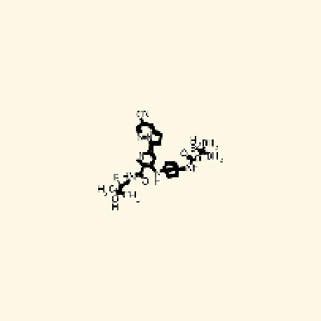 BC(B)(B)OC(=O)NC12CCC(Nc3cc(-c4ccc5cc(C#N)cnn45)ncc3C(=O)NC[C@@H](F)C(C)(C)O)(CC1)CC2